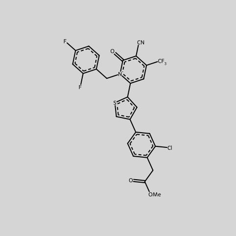 COC(=O)Cc1ccc(-c2csc(-c3cc(C(F)(F)F)c(C#N)c(=O)n3Cc3ccc(F)cc3F)c2)cc1Cl